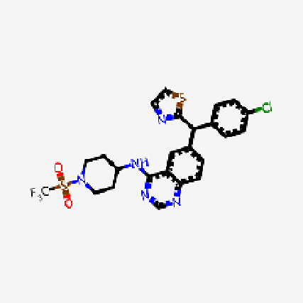 O=S(=O)(N1CCC(Nc2ncnc3ccc(C(c4ccc(Cl)cc4)c4nccs4)cc23)CC1)C(F)(F)F